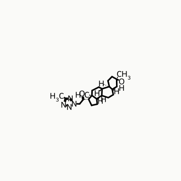 Cc1nnn(CC(=O)[C@H]2CC[C@H]3[C@@H]4CC[C@H]5C[C@](C)(O)CC[C@@H]5[C@H]4CC[C@]23C)n1